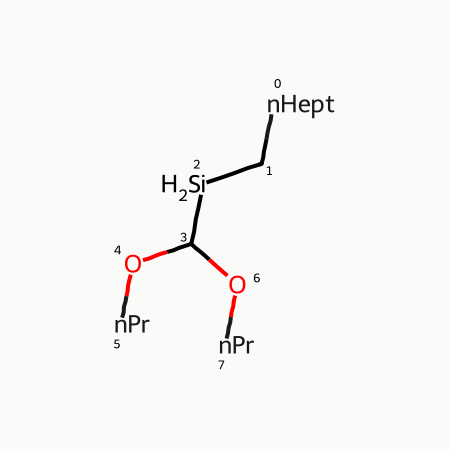 CCCCCCCC[SiH2]C(OCCC)OCCC